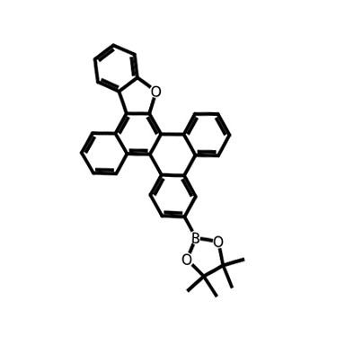 CC1(C)OB(c2ccc3c(c2)c2ccccc2c2c4oc5ccccc5c4c4ccccc4c32)OC1(C)C